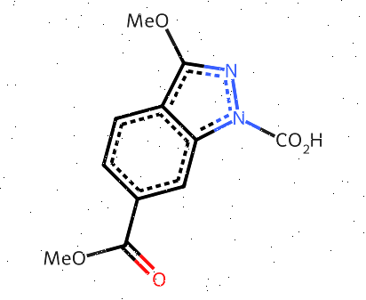 COC(=O)c1ccc2c(OC)nn(C(=O)O)c2c1